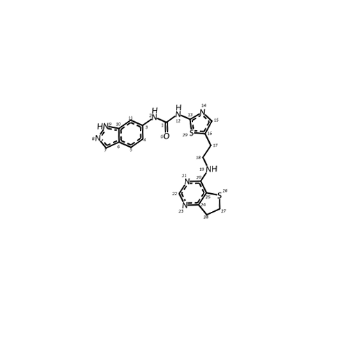 O=C(Nc1ccc2cn[nH]c2c1)Nc1ncc(CCNc2ncnc3c2SCC3)s1